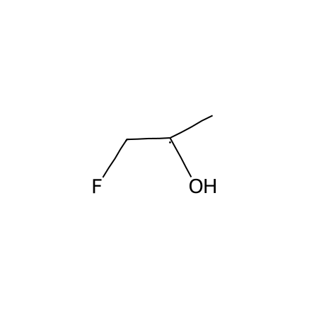 C[C](O)CF